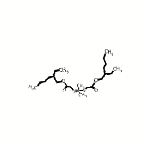 CCCCC(CC)COC(=O)C[S][Sn]([CH3])([CH3])[S]CC(=O)OCC(CC)CCCC